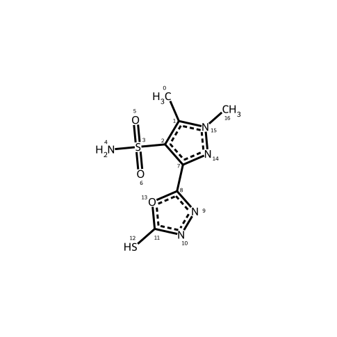 Cc1c(S(N)(=O)=O)c(-c2nnc(S)o2)nn1C